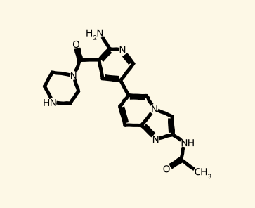 CC(=O)Nc1cn2cc(-c3cnc(N)c(C(=O)N4CCNCC4)c3)ccc2n1